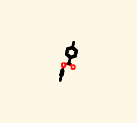 CC#COC(=O)c1ccc(C)cc1